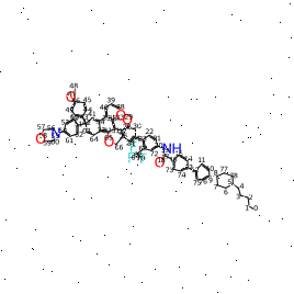 CCCCC[C@H]1CC[C@H](c2ccc(-c3ccc(C(=O)Nc4ccc(C5=CC6=C(C(=O)C5)c5c(c7c(c8c5OC=CC=8)=CC(c5ccc(OC)cc5)(c5ccc(N8CCOCC8)cc5)C=C7)OC6)c(C(F)(F)F)c4)cc3)cc2)CC1